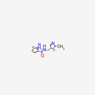 Cc1ncc(CNC(=O)c2ccsc2N)s1